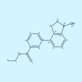 CCOC(=O)c1cccc(-c2cccc3c2COB3O)c1